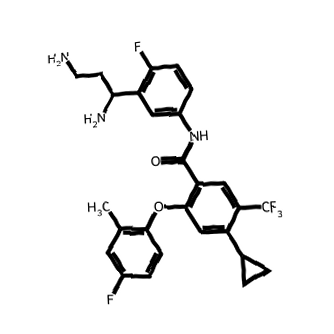 Cc1cc(F)ccc1Oc1cc(C2CC2)c(C(F)(F)F)cc1C(=O)Nc1ccc(F)c(C(N)CCN)c1